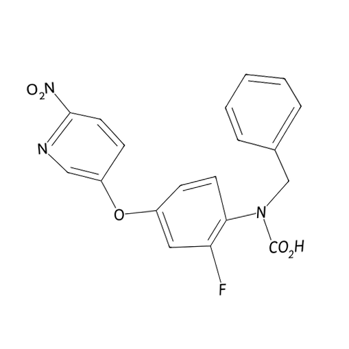 O=C(O)N(Cc1ccccc1)c1ccc(Oc2ccc([N+](=O)[O-])nc2)cc1F